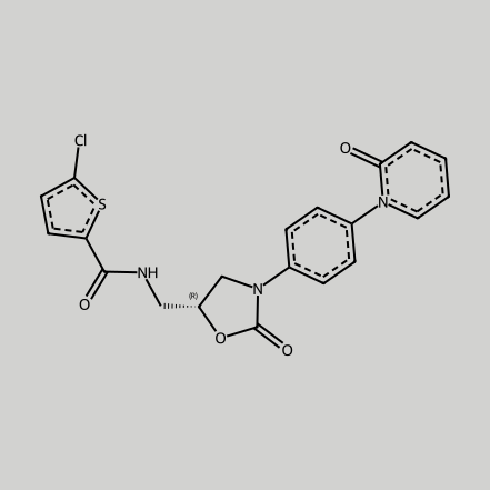 O=C(NC[C@@H]1CN(c2ccc(-n3ccccc3=O)cc2)C(=O)O1)c1ccc(Cl)s1